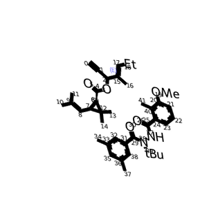 C#CC(OC(=O)[C@@H]1C(C=C(C)C)C1(C)C)/C(C)=C/CC.COc1cccc(C(=O)NN(C(=O)c2cc(C)cc(C)c2)C(C)(C)C)c1C